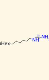 CCCCCCCCCCCCN/C=C/N